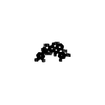 CO[C@@H]1[C@@H](n2cc(-c3ccc(Cl)c(Cl)c3)nn2)[C@@H](O)[C@@H](CO)O[C@H]1C(=O)N(c1cc(Cl)cc(C#N)c1)[C@H]1CCCC[C@@H]1O